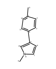 Cc1ccc(-c2ccn(C)c2)cc1